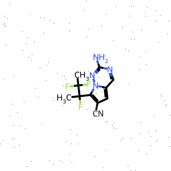 CC(F)(F)C(C)(F)c1c(C#N)cc2cnc(N)nn12